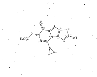 CCOC(=O)Cn1nc(C2CC2)n2c(cc3sc(Cl)cc32)c1=O